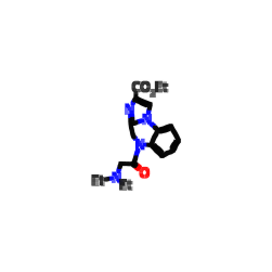 CCOC(=O)c1cn2c(n1)CN(C(=O)CN(CC)CC)c1ccccc1-2